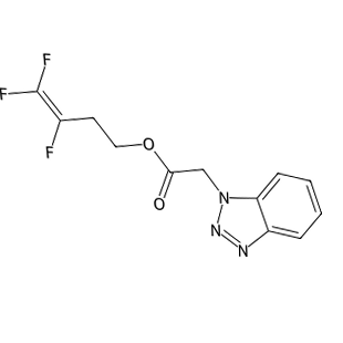 O=C(Cn1nnc2ccccc21)OCCC(F)=C(F)F